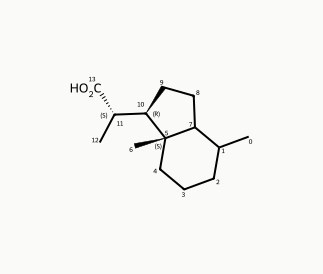 CC1CCC[C@@]2(C)C1CC[C@@H]2[C@H](C)C(=O)O